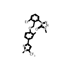 CCc1cccc(-n2nnn(C)c2=O)c1COc1ccc(-c2cc(C(F)(F)F)n(C)n2)cc1C